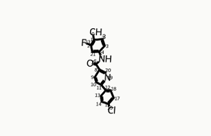 Cc1ccc(NC(=O)c2ccc(-c3ccc(Cl)cc3)nc2)cc1F